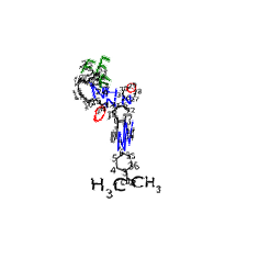 CC(C)C1CCC(n2cc3cc(NC(=O)c4cccc(C(F)(F)F)n4)c(N4CCOCC4)cc3n2)CC1